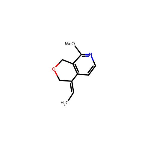 CC=C1COCc2c1ccnc2OC